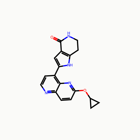 O=C1NCCc2[nH]c(-c3ccnc4ccc(OC5CC5)nc34)cc21